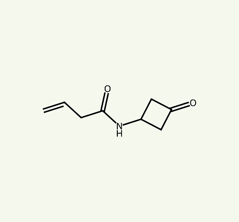 C=CCC(=O)NC1CC(=O)C1